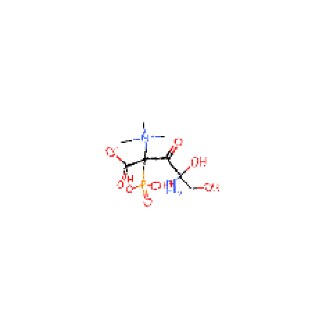 C[N+](C)(C)C(C(=O)[O-])(C(=O)C(N)(O)CO)P(=O)(O)O